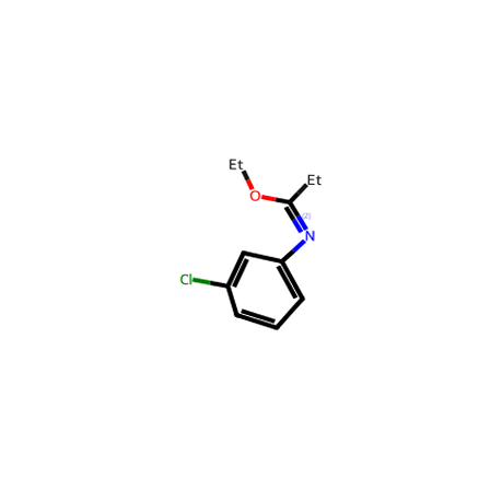 CCO/C(CC)=N\c1cccc(Cl)c1